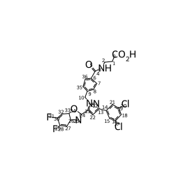 O=C(O)CCNC(=O)c1ccc(Cn2nc(-c3cc(Cl)cc(Cl)c3)cc2C2=NC3C=C(F)C(F)=CC3O2)cc1